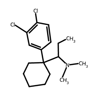 CCC(N(C)C)C1(c2ccc(Cl)c(Cl)c2)CCCCC1